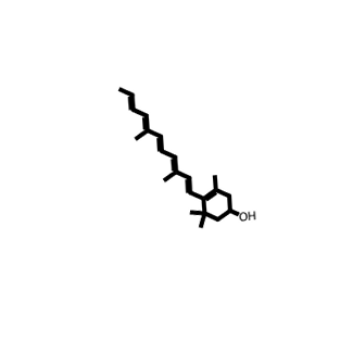 C/C=C/C=C(C)/C=C/C=C(C)/C=C/C1=C(C)CC(O)CC1(C)C